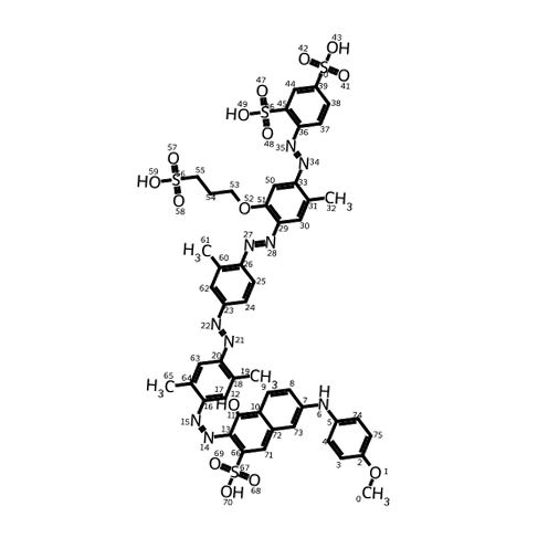 COc1ccc(Nc2ccc3c(O)c(/N=N\c4cc(C)c(N=Nc5ccc(N=Nc6cc(C)c(N=Nc7ccc(S(=O)(=O)O)cc7S(=O)(=O)O)cc6OCCCS(=O)(=O)O)c(C)c5)cc4C)c(S(=O)(=O)O)cc3c2)cc1